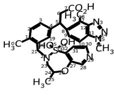 Cc1ccc(C(CC(=O)O)c2ccc3c(nnn3C)c2C)cc1CN1CC(C)Oc2cnccc2S1(O)O